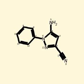 N#Cc1cc(N)n(-c2ccccc2)n1